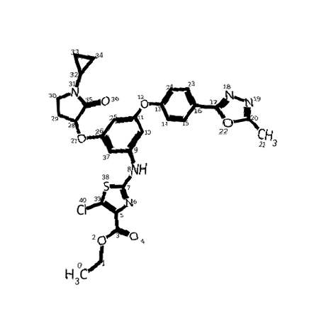 CCOC(=O)c1nc(Nc2cc(Oc3ccc(-c4nnc(C)o4)cc3)cc(OC3CCN(C4CC4)C3=O)c2)sc1Cl